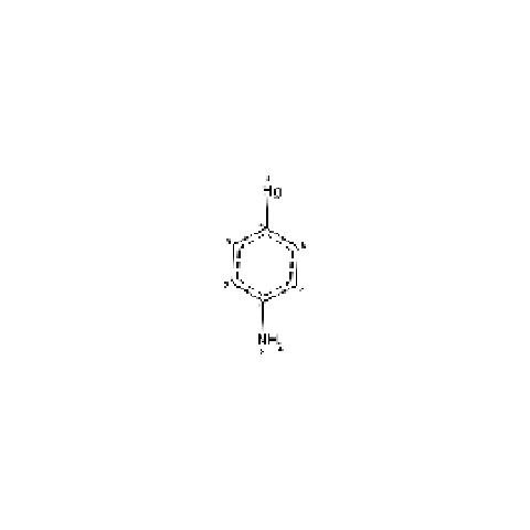 Nc1cc[c]([Hg])cc1